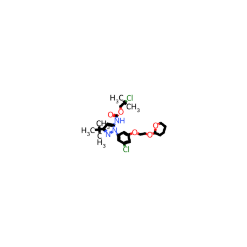 CC(C)(Cl)COC(=O)Nc1cc(C(C)(C)C)nn1-c1cc(Cl)cc(OCCOC2CCCCO2)c1